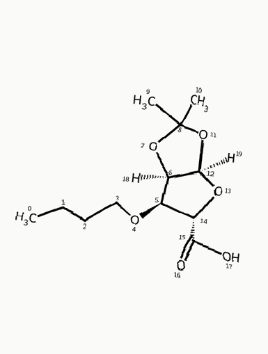 CCCCO[C@H]1[C@H]2OC(C)(C)O[C@H]2O[C@@H]1C(=O)O